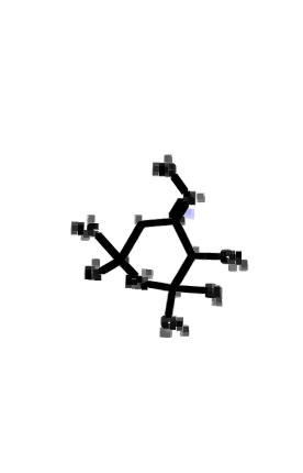 CCC1(C)C/C(=N\O)C(C)C(C)(CC)N1